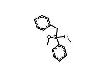 CO[Si](Cc1ccccc1)(OC)c1ccccc1